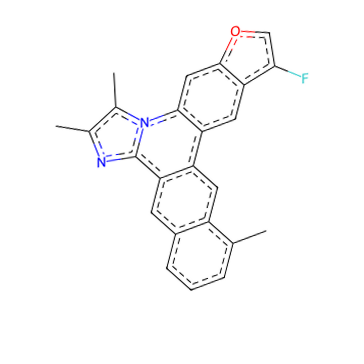 Cc1nc2c3cc4cccc(C)c4cc3c3cc4c(F)coc4cc3n2c1C